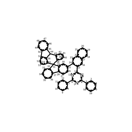 c1ccc(-c2nc(-c3ccccc3)nc(-c3cc4ccccc4cc3-c3ccc4c(c3)C3(c5ccccc5-4)c4ccccc4C4c5ccccc5-c5cccc3c54)n2)cc1